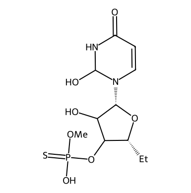 CC[C@H]1O[C@@H](N2C=CC(=O)NC2O)C(O)C1OP(O)(=S)OC